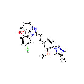 COc1cc(C=Cc2nc3n(n2)CCCC3(O)c2ccc(Cl)cc2)ccc1-n1cnc(C)c1